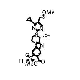 COOCc1cnc(N2CCn3c(nc4cc(C(=O)OC)c(S(C)(=O)=O)cc43)[C@H]2C(C)C)nc1C1CC1